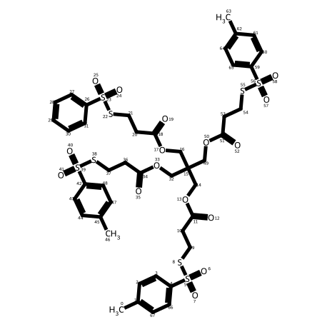 Cc1ccc(S(=O)(=O)SCCC(=O)OCC(COC(=O)CCSS(=O)(=O)c2ccccc2)(COC(=O)CCSS(=O)(=O)c2ccc(C)cc2)COC(=O)CCSS(=O)(=O)c2ccc(C)cc2)cc1